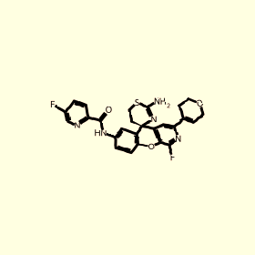 NC1=N[C@@]2(CCS1)c1cc(NC(=O)c3ccc(F)cn3)ccc1Oc1c2cc(C2=CCOCC2)nc1F